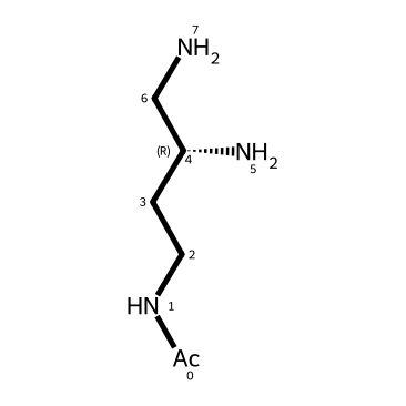 CC(=O)NCC[C@@H](N)CN